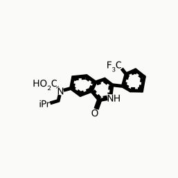 CC(C)CN(C(=O)O)c1ccc2cc(-c3ccccc3C(F)(F)F)[nH]c(=O)c2c1